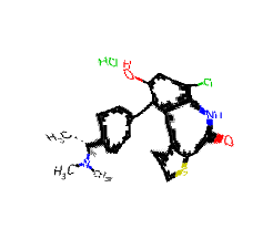 C[C@H](c1ccc(-c2c(O)cc(Cl)c3[nH]c(=O)c4sccc4c23)cc1)N(C)C.Cl